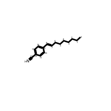 CCCCCCCC=Cc1[c]cc(C#N)cc1